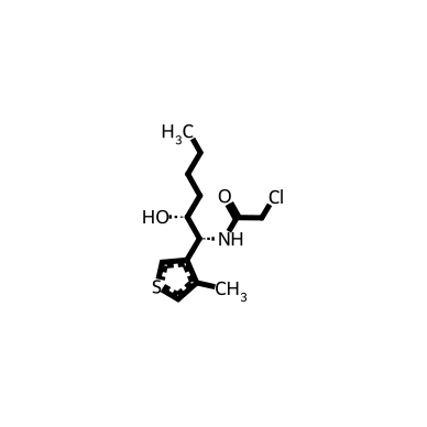 CCCC[C@@H](O)[C@H](NC(=O)CCl)c1cscc1C